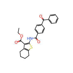 CCOC(=O)c1c(NC(=O)c2ccc(C(=O)c3ccccc3)cc2)sc2c1CCCC2